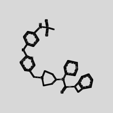 CS(=O)(=O)Nc1ccc(Oc2ccc(CN3CCC(N(C(=O)C4Cc5ccccc54)c4ccccc4)CC3)cn2)cc1